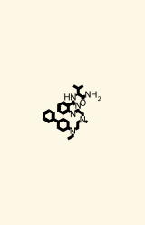 CCN(CCN(C)Cc1nc(N[C@H](C(N)=O)C(C)C)c2ccccc2n1)C1CCC(c2ccccc2)CC1